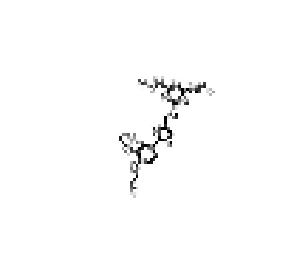 COc1cc(-c2nc(CSc3nc(N)nc(N)n3)cs2)ccc1OCCF